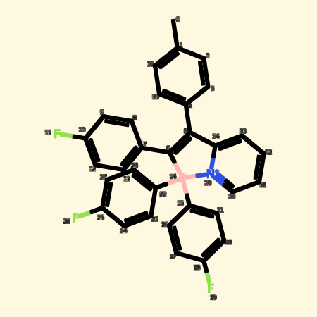 Cc1ccc(C2=C(c3ccc(F)cc3)[B-](c3ccc(F)cc3)(c3ccc(F)cc3)[n+]3ccccc32)cc1